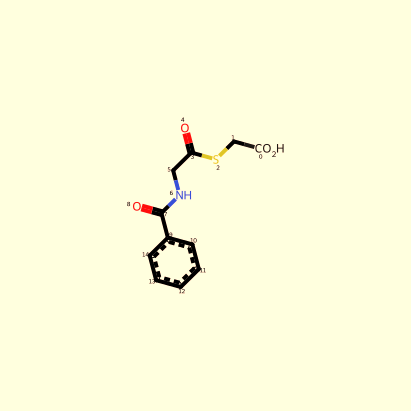 O=C(O)CSC(=O)CNC(=O)c1ccccc1